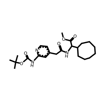 COC(=O)C(NC(=O)Cc1ccnc(NC(=O)OC(C)(C)C)c1)C1CCCCCCC1